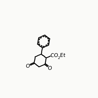 CCOC(=O)C1C(=O)CC(=O)CC1c1ccccc1